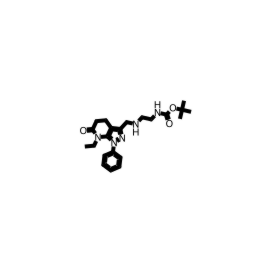 CCN1C(=O)CCc2c(CNCCNC(=O)OC(C)(C)C)nn(-c3ccccc3)c21